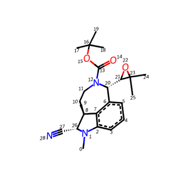 CN1c2cccc3c2[C@@](C)(CCN(C(=O)OC(C)(C)C)[C@@H]3C2OC2(C)C)[C@H]1C#N